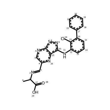 CC(N=Cc1cnc2snc(Nc3cccc(-c4ccccc4)c3Cl)c2n1)C(=O)O